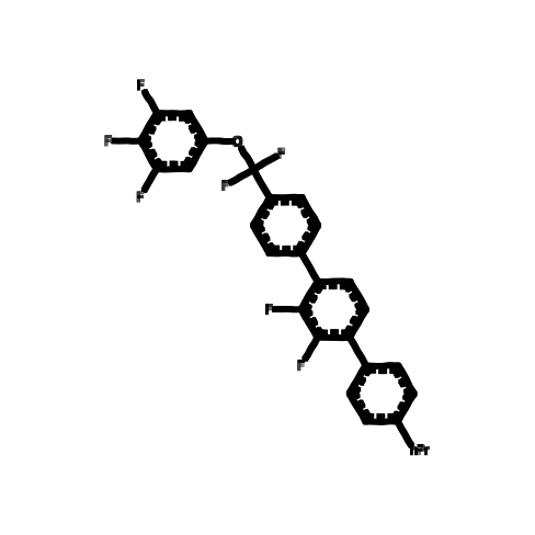 CCCc1ccc(-c2ccc(-c3ccc(C(F)(F)Oc4cc(F)c(F)c(F)c4)cc3)c(F)c2F)cc1